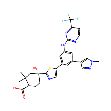 Cn1cc(-c2cc(Nc3nccc(C(F)(F)F)n3)cc(-c3cnc([C@@]4(O)CC[C@@H](C(=O)O)C(C)(C)C4)s3)c2)cn1